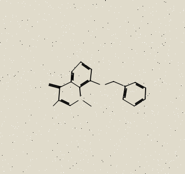 CCOC(=O)c1cn(CC)c2c(OCc3ccccc3)cccc2c1=O